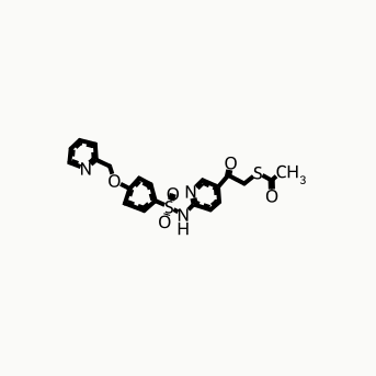 CC(=O)SCC(=O)c1ccc(NS(=O)(=O)c2ccc(OCc3ccccn3)cc2)nc1